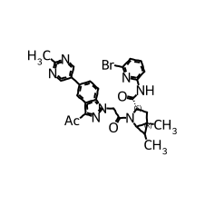 CC(=O)c1nn(CC(=O)N2C3C(C)[C@@]3(C)C[C@H]2C(=O)Nc2cccc(Br)n2)c2ccc(-c3cnc(C)nc3)cc12